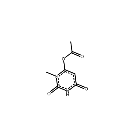 CC(=O)Oc1cc(=O)[nH]c(=O)n1C